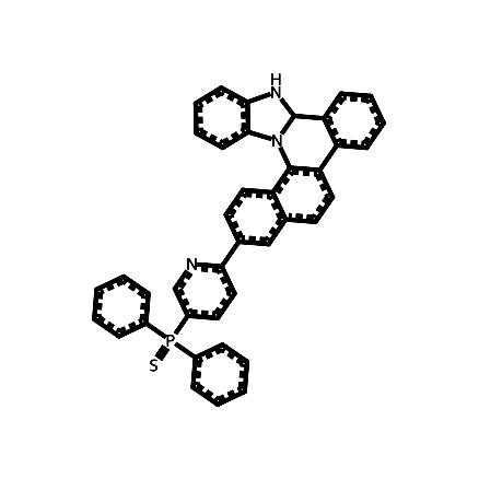 S=P(c1ccccc1)(c1ccccc1)c1ccc(-c2ccc3c4c(ccc3c2)-c2ccccc2C2Nc3ccccc3N42)nc1